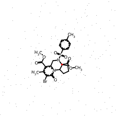 COC(=O)CN(Cc1c(C(=O)OC)c(C)c(Br)c(=O)n1C1CCCC1)S(=O)(=O)c1ccc(C)cc1